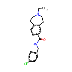 CCN1CCc2ccc(C(=O)NCc3ccc(Cl)cc3)cc2CC1